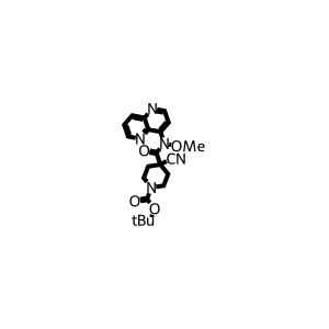 CON(C(=O)C1(C#N)CCN(C(=O)OC(C)(C)C)CC1)c1ccnc2cccnc12